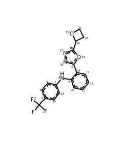 FC(F)(F)c1ccc(Nc2ccccc2-c2nnc(C3CCO3)o2)cc1